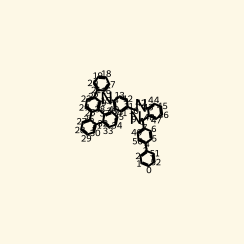 c1ccc(-c2ccc(-c3nc(-c4ccc(-n5c6ccccc6c6ccc7c8ccccc8c8ccccc8c7c65)cc4)nc4ccccc34)cc2)cc1